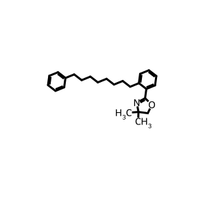 CC1(C)COC(c2ccccc2CCCCCCCCc2ccccc2)=N1